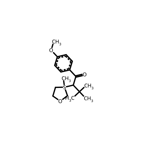 COc1ccc(C(=O)C(C(C)(C)C)S2(C)CCOC2)cc1